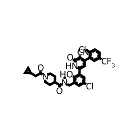 CN(Cc1cc(Cl)cc(-c2cc(-c3cc(C(F)(F)F)ccc3Cl)c(C#N)c(=O)[nH]2)c1O)C(=O)C1CCN(C(=O)CC2CC2)CC1